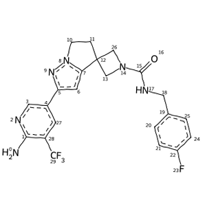 Nc1ncc(-c2cc3n(n2)CCC32CN(C(=O)NCc3ccc(F)cc3)C2)cc1C(F)(F)F